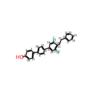 Oc1ccc(-c2ccc(-c3cc(F)c(CCc4ccccc4)c(F)c3)cc2)cc1